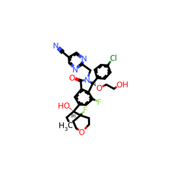 CC[C@@](O)(c1cc(F)c2c(c1)C(=O)N(Cc1ncc(C#N)cn1)[C@@]2(OCCO)c1ccc(Cl)cc1)C1(F)CCOCC1